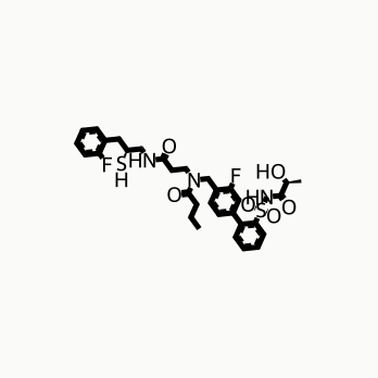 CCCC(=O)N(CCC(=O)NC[C@H](S)Cc1ccccc1F)Cc1ccc(-c2ccccc2S(=O)(=O)NC(=O)[C@H](C)O)cc1F